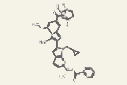 COc1cc(C(=O)N2[C@H]3CC[C@@H]2[C@H](N)C3)cc2nc(-c3cc4ccc([C@@H](C)NC(=O)c5ncccn5)nc4n3CC3CC3)c(C)n12